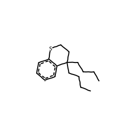 CCCCC1(CCCC)CCSc2cc[c]cc21